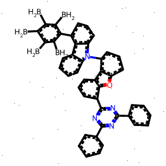 Bc1c(B)c(B)c(-c2cccc3c2c2ccccc2n3-c2cccc3oc4c(-c5nc(-c6ccccc6)nc(-c6ccccc6)n5)cccc4c23)c(B)c1B